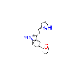 c1cc2[nH]cc(CCC3CCCN3)c2cc1C1CCCCO1